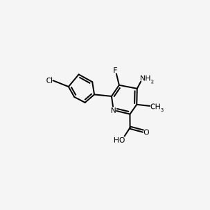 Cc1c(C(=O)O)nc(-c2ccc(Cl)cc2)c(F)c1N